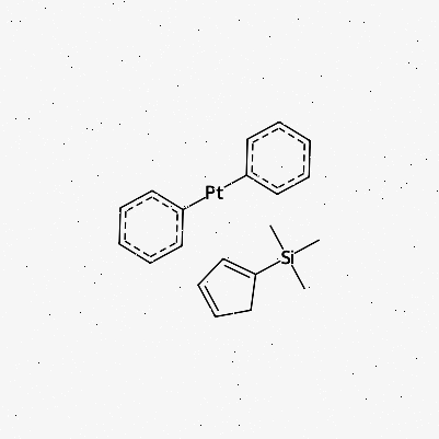 C[Si](C)(C)C1=CC=CC1.c1cc[c]([Pt][c]2ccccc2)cc1